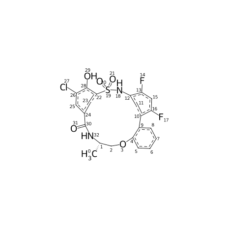 C[C@H]1COc2ccccc2-c2cc(c(F)cc2F)NS(=O)(=O)c2cc(cc(Cl)c2O)C(=O)N1